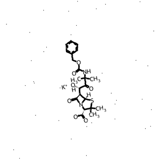 CC(C)(NC(=O)OCc1ccccc1)C(=O)[C@@H](O)[C@@H]1C(=O)N2[C@@H]1SC(C)(C)[C@@H]2C(=O)[O-].[K+]